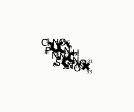 CSc1nc2c3c(nc(Cl)c(F)c3n1)OCCN2C(C)c1cccnc1NC(=O)OC(C)(C)C